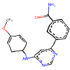 NC(=O)c1cccc(-c2cc(NC3C=CC(OC(F)(F)F)=CC3)ncn2)c1